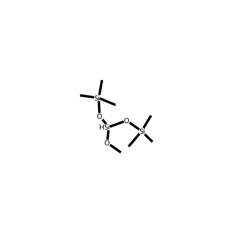 CO[SiH](O[Si](C)(C)C)O[Si](C)(C)C